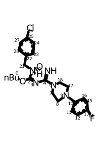 CCCCO/C(=N/C(=N)N1CCN(c2ccc(F)cc2)CC1)N(O)Cc1ccc(Cl)cc1